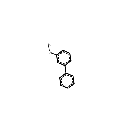 CCOc1cc[c]c(-c2ccncc2)c1